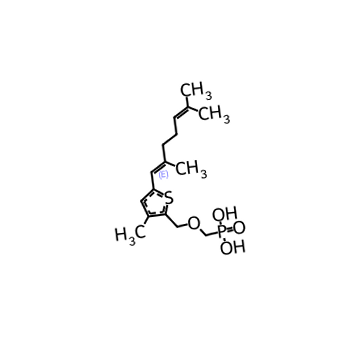 CC(C)=CCC/C(C)=C/c1cc(C)c(COCP(=O)(O)O)s1